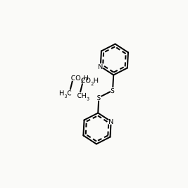 CC(=O)O.CC(=O)O.c1ccc(SSc2ccccn2)nc1